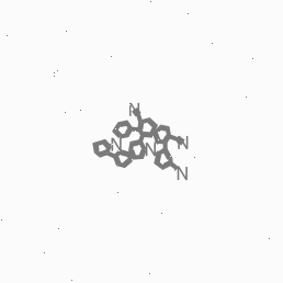 N#Cc1ccc2c(c1)c1c(C#N)cccc1n2-c1ccccc1-c1cccc(C#N)c1-c1cccc(-n2c3ccccc3c3ccccc32)c1